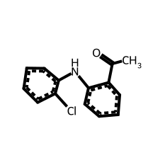 CC(=O)c1ccccc1Nc1ccccc1Cl